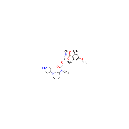 COc1cc(C)c(S(=O)(=O)N(C)CCOCC(=O)N(C)C2CCCCN(C3CCNCC3)C2)c(C)c1